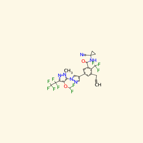 C#CCc1cc(-c2cnn(-c3c(OC(F)F)c(C(F)(F)C(F)(F)F)nn3C)c2)cc(C(=O)NC2(C#N)CC2)c1C(F)(F)F